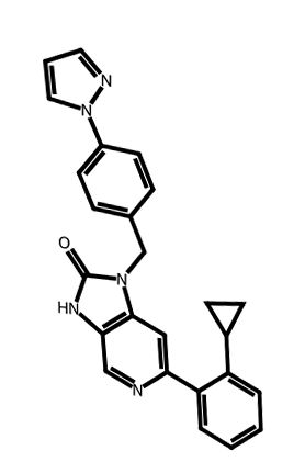 O=c1[nH]c2cnc(-c3ccccc3C3CC3)cc2n1Cc1ccc(-n2cccn2)cc1